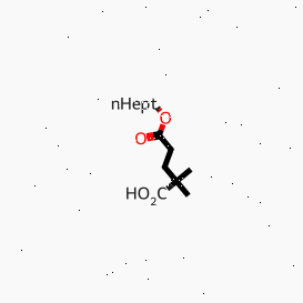 CCCCCCCOC(=O)CCC(C)(C)C(=O)O